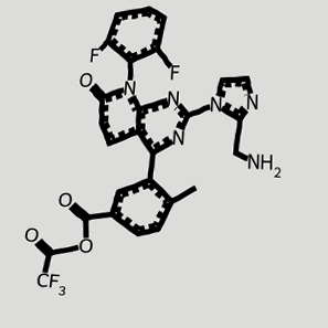 Cc1ccc(C(=O)OC(=O)C(F)(F)F)cc1-c1nc(-n2ccnc2CN)nc2c1ccc(=O)n2-c1c(F)cccc1F